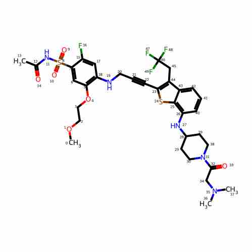 COCCOc1cc(S(=O)(=O)NC(C)=O)c(F)cc1NCC#Cc1sc2c(NC3CCN(C(=O)CN(C)C)CC3)cccc2c1CC(F)(F)F